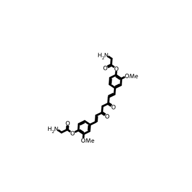 COc1cc(/C=C/C(=O)CC(=O)/C=C/c2ccc(OC(=O)CN)c(OC)c2)ccc1OC(=O)CN